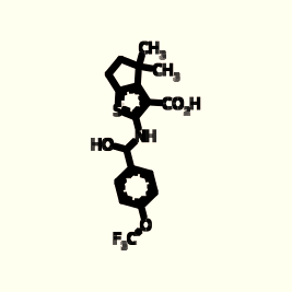 CC1(C)CCc2sc(NC(O)c3ccc(OC(F)(F)F)cc3)c(C(=O)O)c21